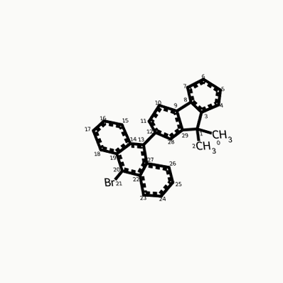 CC1(C)c2ccccc2-c2ccc(-c3c4ccccc4c(Br)c4ccccc34)cc21